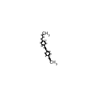 CC#Cc1ccc(C#Cc2ccc(CCCC)cc2)cc1